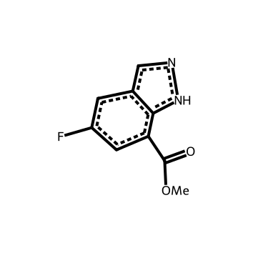 COC(=O)c1cc(F)cc2cn[nH]c12